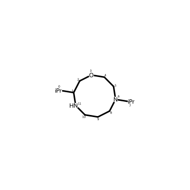 CC(C)C1COCCN(C(C)C)CCCN1